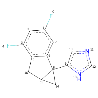 Fc1cc(F)c2c(c1)C1(c3cnc[nH]3)CC1C2